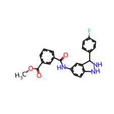 COC(=O)c1cccc(C(=O)Nc2ccc3c(c2)C(c2ccc(F)cc2)NN3)c1